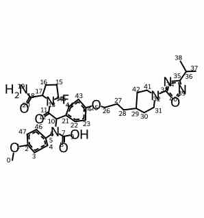 COc1ccc(N(C(=O)O)C(C(=O)N2CCCC2C(N)=O)c2ccc(OCCCC3CCN(c4nc(C(C)C)no4)CC3)cc2F)cc1